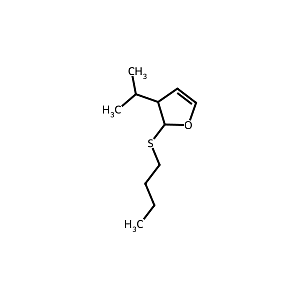 CCCCSC1OC=CC1C(C)C